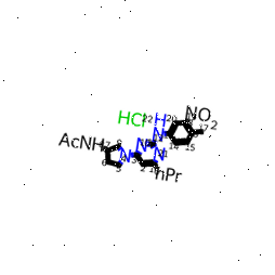 CCCc1cc(N2CCC(NC(C)=O)C2)nc(Nc2ccc(C)c([N+](=O)[O-])c2)n1.Cl